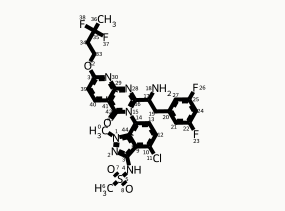 Cn1nc(NS(C)(=O)=O)c2c(Cl)ccc(-n3c(C(N)Cc4cc(F)cc(F)c4)nc4nc(OCCC(C)(F)F)ccc4c3=O)c21